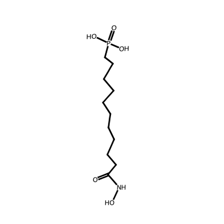 O=C(CCCCCCCCCCP(=O)(O)O)NO